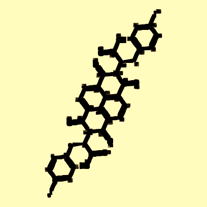 O=C(O)[C@H](Cc1ccc(I)cc1)N1C(=O)c2ccc3c4c(ccc(c24)C1=O)C(=O)N([C@@H](Cc1ccc(I)cc1)C(=O)O)C3=O